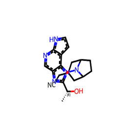 C[C@@H](O)c1nc2cnc3[nH]ccc3c2n1N1C2CCC1CC(CC#N)C2